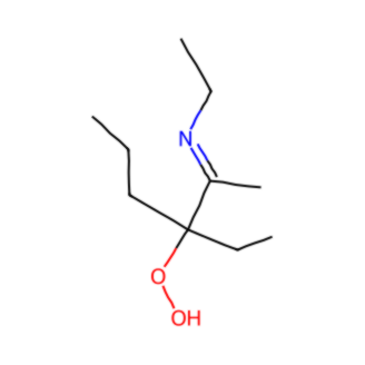 CCCC(CC)(OO)C(C)=NCC